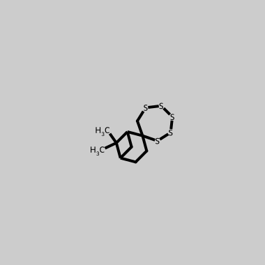 CC1(C)C2CCC3(CSSSSS3)C1C2